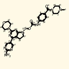 CN1CCN(C(=O)c2ccc(NC(=O)OSN3CCc4c(-c5cnc(N)nc5)nc(N5CCOCC5)nc43)cc2)CC1